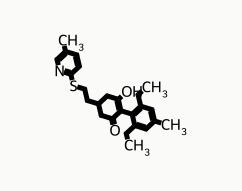 CCc1cc(C)cc(CC)c1C1=C(O)CC(CCSc2ccc(C)cn2)CC1=O